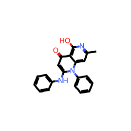 Cc1cc2c(c(O)n1)c(=O)cc(Nc1ccccc1)n2-c1ccccc1